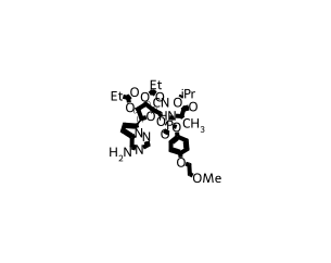 CCC(=O)O[C@H]1[C@H](c2ccc3c(N)ncnn23)O[C@](C#N)(COP(=O)(NC(C)C(=O)OC(C)C)Oc2ccc(OCCOC)cc2)[C@H]1OC(=O)CC